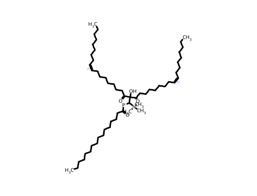 CCCCCCCC/C=C\CCCCCCCC(=O)C(O)(C(=O)CCCCCCC/C=C\CCCCCCCC)C([P-]C(=O)CCCCCCCCCCCCCCC)[N+](C)(C)C